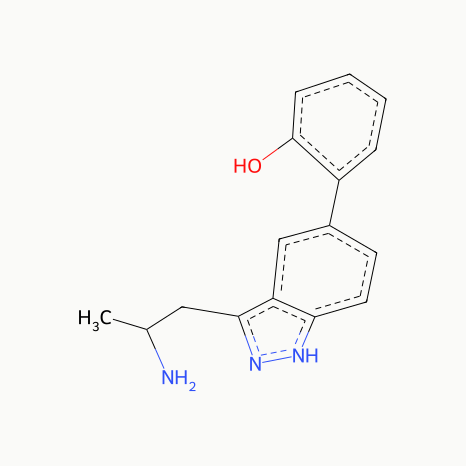 CC(N)Cc1n[nH]c2ccc(-c3ccccc3O)cc12